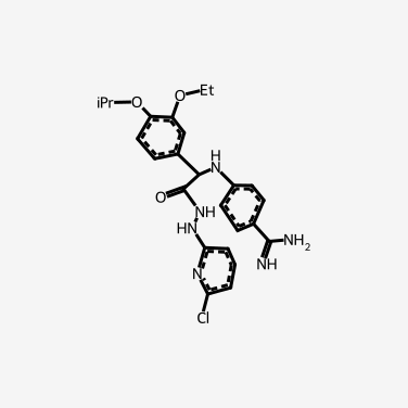 CCOc1cc(C(Nc2ccc(C(=N)N)cc2)C(=O)NNc2cccc(Cl)n2)ccc1OC(C)C